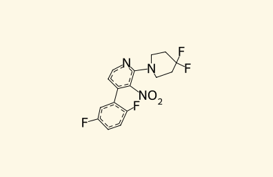 O=[N+]([O-])c1c(-c2cc(F)ccc2F)ccnc1N1CCC(F)(F)CC1